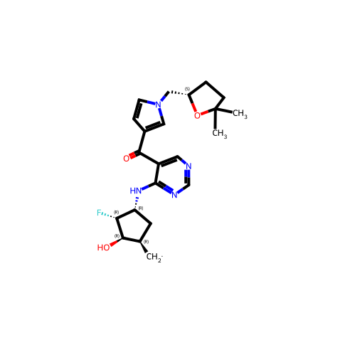 [CH2][C@@H]1C[C@@H](Nc2ncncc2C(=O)c2ccn(C[C@@H]3CCC(C)(C)O3)c2)[C@@H](F)[C@@H]1O